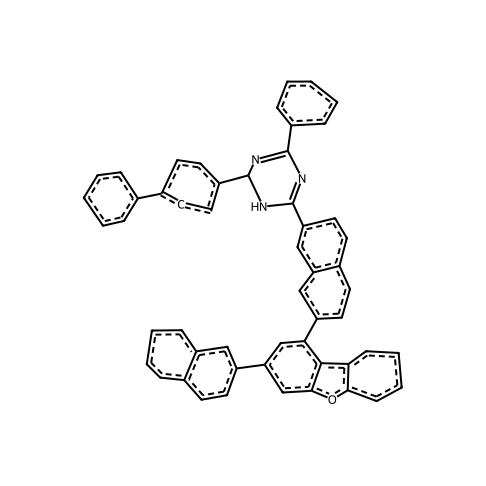 c1ccc(C2=NC(c3ccc(-c4ccccc4)cc3)NC(c3ccc4ccc(-c5cc(-c6ccc7ccccc7c6)cc6oc7ccccc7c56)cc4c3)=N2)cc1